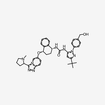 CN1CCCC1c1nnc2ccc(O[C@@H]3CC[C@H](NC(=O)Nc4cc(C(C)(C)C)nn4-c4ccc(CO)cc4)c4ccccc43)cn12